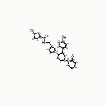 O=C(NCc1cn(-c2ccc(-n3ccccc3=O)cc2-c2ccc(O)nc2)cn1)c1ccc(Cl)s1